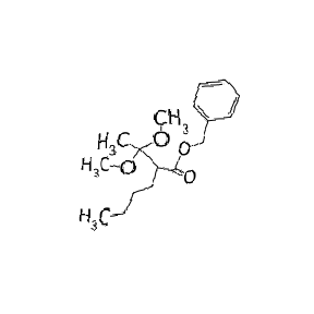 CCCCC(C(=O)OCc1ccccc1)C(C)(OC)OC